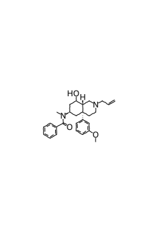 C=CCN1CC[C@@]2(c3cccc(OC)c3)C[C@@H](N(C)C(=O)c3ccccc3)CC(O)[C@@H]2C1